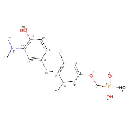 Cc1cc(OCP(=O)(O)N=O)cc(C)c1Cc1ccc(O)c(N(C)C)c1